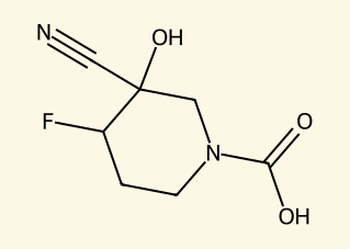 N#CC1(O)CN(C(=O)O)CCC1F